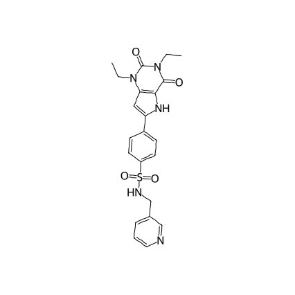 CCn1c(=O)c2[nH]c(-c3ccc(S(=O)(=O)NCc4cccnc4)cc3)cc2n(CC)c1=O